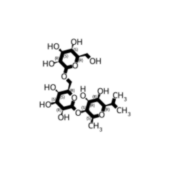 CC(C)[C@H]1O[C@@H](C)[C@@H](OC2O[C@H](COC3O[C@H](CO)[C@@H](O)[C@H](O)[C@H]3O)[C@@H](O)[C@H](O)[C@H]2O)[C@H](O)[C@H]1O